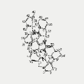 Cc1ccc(C)c(N(c2ccccc2)c2c3ccccc3cc3c2c2cccc4c5c(N(c6ccccc6)c6cc(C)ccc6C)c6ccccc6cc5n3c24)c1